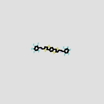 Fc1c(F)c(F)c(/C=C/c2cc3sc4cc5c(cc4c3s2)sc2cc(/C=C/c3c(F)c(F)c(F)c(F)c3F)sc25)c(F)c1F